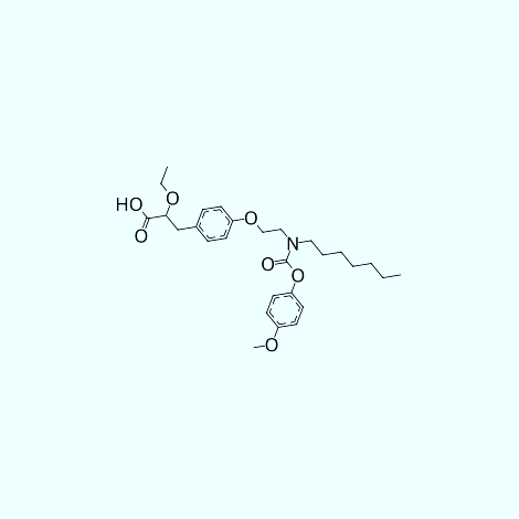 CCCCCCCN(CCOc1ccc(CC(OCC)C(=O)O)cc1)C(=O)Oc1ccc(OC)cc1